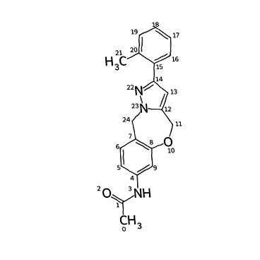 CC(=O)Nc1ccc2c(c1)OCc1cc(-c3ccccc3C)nn1C2